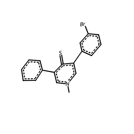 Cn1cc(-c2ccccc2)c(=S)c(-c2cccc(Br)c2)c1